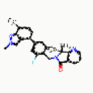 BC1(B)c2ncccc2C(=O)N1Cc1c(C)cc(-c2ccc(C(F)(F)F)c3nn(C)cc23)cc1F